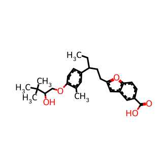 CCC(CCc1cc2cc(C(=O)O)ccc2o1)c1ccc(OCC(O)C(C)(C)C)c(C)c1